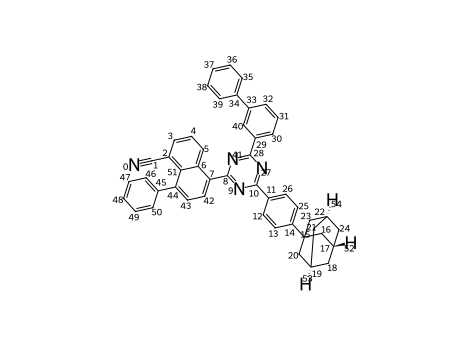 N#Cc1cccc2c(-c3nc(-c4ccc(C56C[C@H]7C[C@@H](C5)C[C@@H](C6)C7)cc4)nc(-c4cccc(-c5ccccc5)c4)n3)ccc(-c3ccccc3)c12